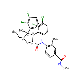 COc1cc(C(=O)NSC)ccc1NC(=O)[C@@H]1C[C@@H](CC(C)(C)C)[C@](C#N)(c2cccc(Cl)c2F)[C@H]1c1cccc(Cl)c1F